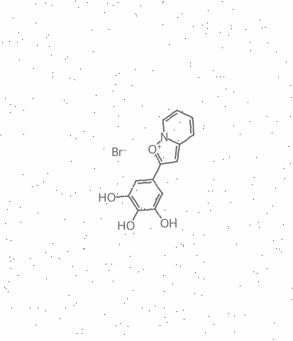 Oc1cc(-c2cc3ccccn3[o+]2)cc(O)c1O.[Br-]